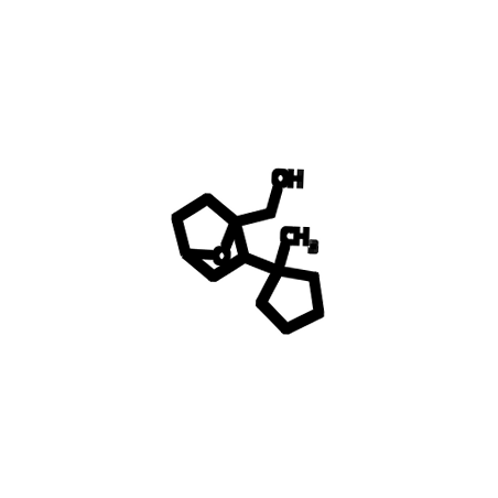 CC1(C2CC3CCC2(CO)O3)CCCC1